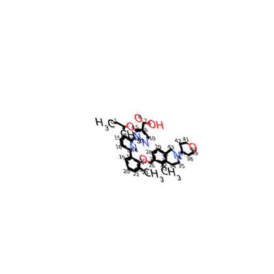 CCC(C)Oc1c(C(=O)O)cnn1-c1cccc(-c2cccc(C)c2OCc2ccc3c(c2C)CCN(C2CCOCC2)C3)n1